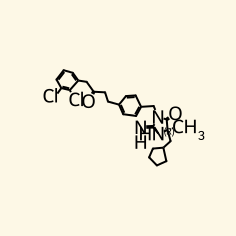 C[C@]1(CC2CCCC2)NC(=N)N(Cc2ccc(CCC(=O)Cc3cccc(Cl)c3Cl)cc2)C1=O